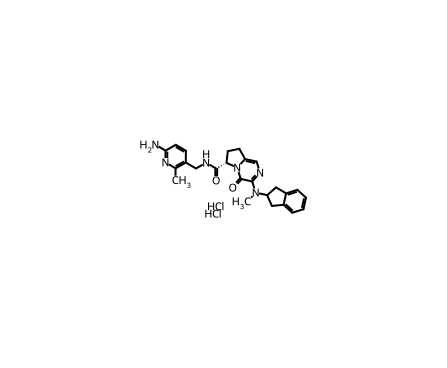 Cc1nc(N)ccc1CNC(=O)[C@@H]1CCc2cnc(N(C)C3Cc4ccccc4C3)c(=O)n21.Cl.Cl